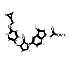 COC(=O)C[C@H]1CC(=O)c2cc(N3CC[C@@H](Oc4ccc(OCC5CC5)nc4)C3=O)ccc21